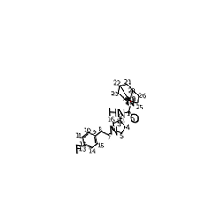 O=C(N[C@H]1CCN(CCc2ccc(F)cc2)C1)N1C2CC3CC(C2)CC1C3